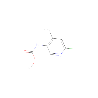 CNc1cc(Cl)ncc1NC(=O)OC(C)(C)C